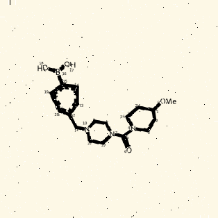 COC1CCN(C(=O)N2CCN(Cc3ccc(B(O)O)cc3)CC2)CC1